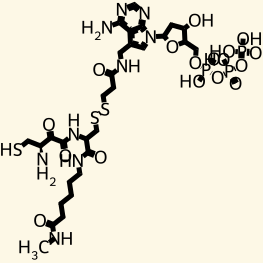 CNC(=O)CCCCCNC(=O)C(CSSCCC(=O)NCc1cn(C2CC(O)C(COP(=O)(O)OP(=O)(O)OP(=O)(O)O)O2)c2ncnc(N)c12)NC(=O)C(=O)[C@@H](N)CS